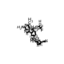 O=C(O)C(F)(F)F.[2H]C([2H])([2H])c1ccc(S(=O)(=O)NC23CCC(C#N)(C2)C3)cc1-c1cnc2c(N)nc(C)cn12